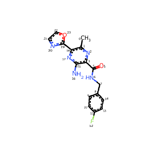 Cc1nc(C(=O)NCc2ccc(F)cc2)c(N)nc1-c1ncco1